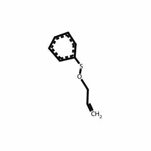 C=CCOSc1ccccc1